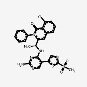 C[C@H](Nc1nc(N)ncc1-c1cnc(S(C)(=O)=O)s1)c1cc2cccc(Cl)c2c(=O)n1-c1ccccc1